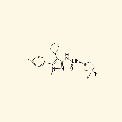 Cn1nc(NC(=O)N[C@H]2CCC(F)(F)C2)c(C2CCC2)c1-c1ccc(F)cc1